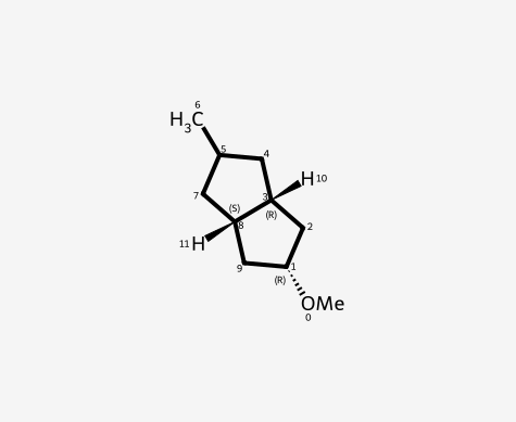 CO[C@H]1C[C@H]2CC(C)C[C@H]2C1